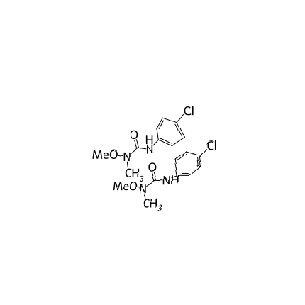 CON(C)C(=O)Nc1ccc(Cl)cc1.CON(C)C(=O)Nc1ccc(Cl)cc1